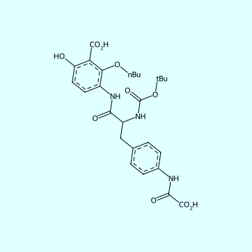 CCCCOc1c(NC(=O)C(Cc2ccc(NC(=O)C(=O)O)cc2)NC(=O)OC(C)(C)C)ccc(O)c1C(=O)O